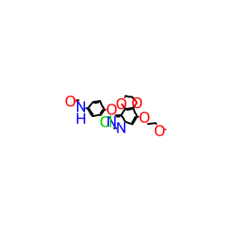 COCCOc1cc2ncnc(Oc3ccc(NC=O)cc3Cl)c2c2c1OCCO2